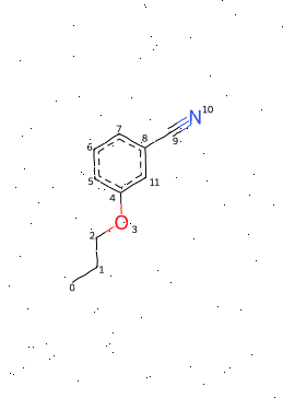 CCCOc1cccc(C#N)c1